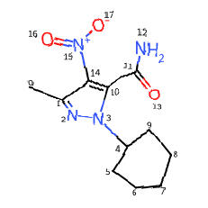 Cc1nn(C2CCCCC2)c(C(N)=O)c1[N+](=O)[O-]